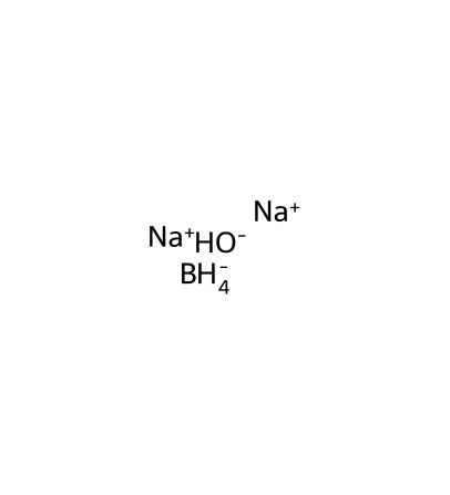 [BH4-].[Na+].[Na+].[OH-]